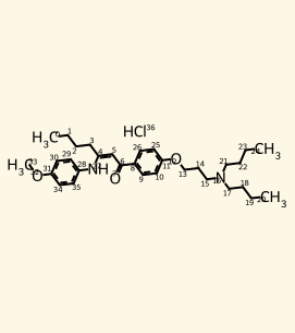 CCCCC(=CC(=O)c1ccc(OCCCN(CCCC)CCCC)cc1)Nc1ccc(OC)cc1.Cl